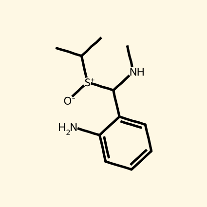 CNC(c1ccccc1N)[S+]([O-])C(C)C